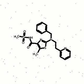 Cc1sc(N(CCc2ccccn2)Cc2ccccc2)nc1C(=O)NS(C)(=O)=O